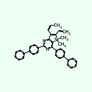 C=CC1=C(/C=C\C)c2nc(-c3ccc(-c4ccccc4)cc3)nc(-c3ccc(-c4ccccc4)cc3)c2[Si]1(C)C